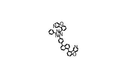 c1ccc(-c2nc(-c3ccc(-c4cccc5c(-c6cccc7oc8ccncc8c67)cccc45)cc3)nc(-c3cccc4oc5ccncc5c34)n2)cc1